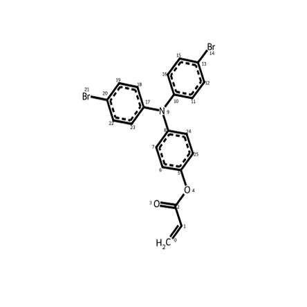 C=CC(=O)Oc1ccc(N(c2ccc(Br)cc2)c2ccc(Br)cc2)cc1